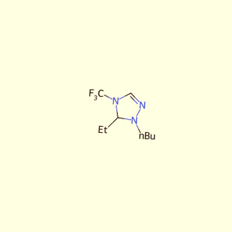 CCCCN1N=CN(C(F)(F)F)C1CC